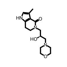 Cc1c[nH]c2c1C(=O)N(C[C@H](O)CN1CCOCC1)CC2